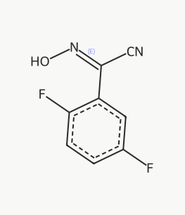 N#C/C(=N/O)c1cc(F)ccc1F